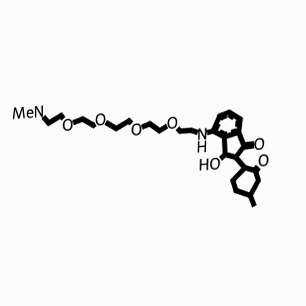 CNCCOCCOCCOCCOCCNc1cccc2c1C(O)C(C1CCC(C)CC1=O)C2=O